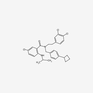 CC(C)Nc1ccc(Cl)cc1C(=O)N(CCc1ccc(Cl)c(Cl)c1)Cc1ccc(C2CCC2)cc1